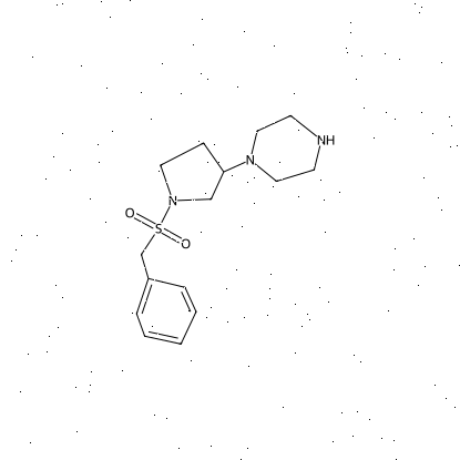 O=S(=O)(Cc1ccccc1)N1CCC(N2CCNCC2)C1